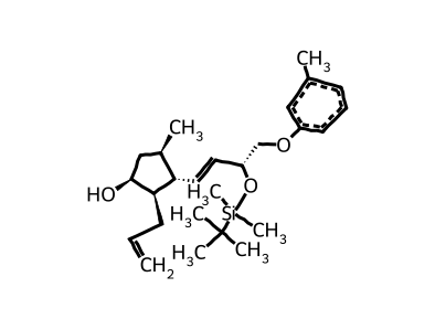 C=CC[C@@H]1[C@@H](/C=C/[C@H](COc2cccc(C)c2)O[Si](C)(C)C(C)(C)C)[C@H](C)C[C@@H]1O